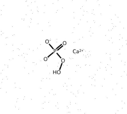 O=P([O-])([O-])OO.[Ca+2]